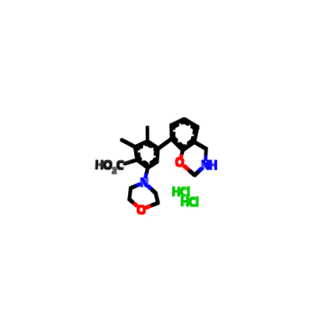 Cc1c(-c2cccc3c2OCNC3)cc(N2CCOCC2)c(C(=O)O)c1C.Cl.Cl